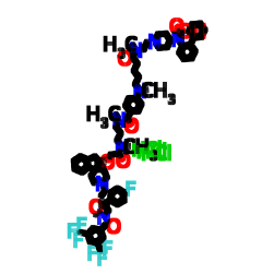 CN(CCN1CCC(N(C(=O)O)c2ccccc2-c2ccccc2)CC1)C(=O)CCCCN(C)c1ccc(C(=O)N(C)CCCN(C)C(=O)CO[C@H]2Cc3ccccc3C23CCN(CC[C@]2(c4ccc(F)cc4)CN(C(=O)c4cc(C(F)(F)F)cc(C(F)(F)F)c4)CO2)CC3)cc1.Cl.Cl.Cl